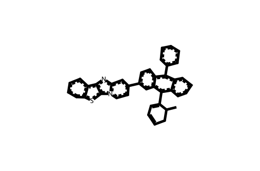 CC1CC=CC=C1c1c2ccccc2c(-c2ccccc2)c2ccc(-c3ccn4c(c3)nc3c5ccccc5sc34)cc12